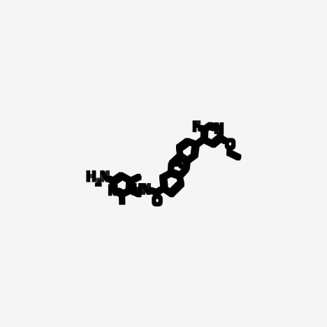 CCOc1cc(-c2ccc3c(c2)c2oc3c3cc(C(=O)NCc4c(C)cc(N)nc4C)ccc32)c(F)cn1